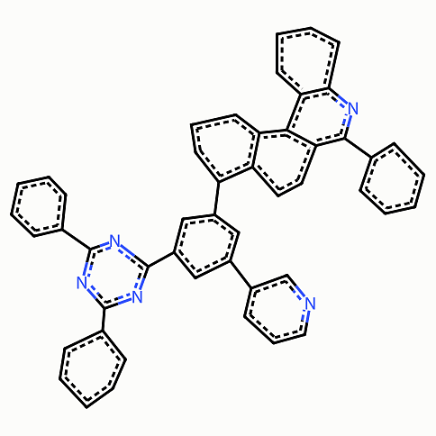 c1ccc(-c2nc(-c3ccccc3)nc(-c3cc(-c4cccnc4)cc(-c4cccc5c4ccc4c(-c6ccccc6)nc6ccccc6c45)c3)n2)cc1